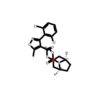 Cc1onc(-c2c(Cl)cccc2Cl)c1C(=O)OC1C[C@H]2CC[C@@H](C1)N2C(=O)OC(C)(C)C